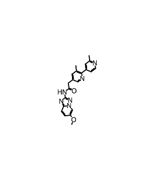 COc1ccc2nc(NC(=O)Cc3cnc(-c4ccnc(C)c4)c(C)c3)nn2c1